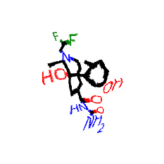 Cc1ccc(O)cc1C12CCN(CC(F)F)C(C)C1(O)CCC(C(=O)NC(N)=O)C2